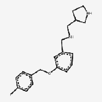 Ic1ccc(COc2cccc(CNCC3CCNC3)c2)cc1